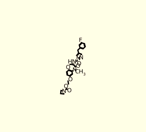 CN1C(=O)[C@@H](NC(=O)n2cc(Cc3cccc(F)c3)cn2)COc2ccc(OCCOC(=O)N3CCC3)cc21